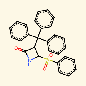 O=C1NC(S(=O)(=O)c2ccccc2)C1C(c1ccccc1)(c1ccccc1)c1ccccc1